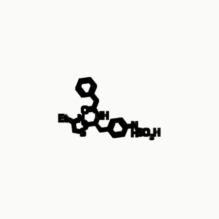 CCC1CSC([C@H](Cc2ccc(NS(=O)(=O)O)cc2)NC(=O)Cc2ccccc2)=N1